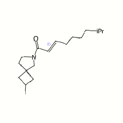 CC(C)CCCC/C=C/C(=O)N1CCC2(CC(C)C2)C1